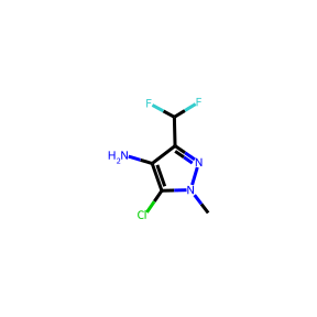 Cn1nc(C(F)F)c(N)c1Cl